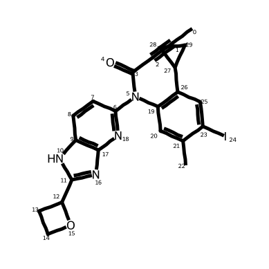 CC#CC(=O)N(c1ccc2[nH]c(C3CCO3)nc2n1)c1cc(C)c(I)cc1C1CC1